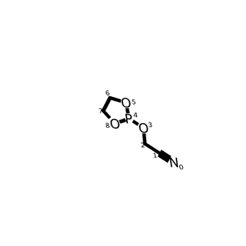 N#CCOP1OCCO1